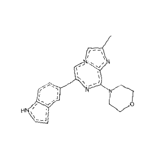 Cc1cn2cc(-c3ccc4[nH]ccc4c3)nc(N3CCOCC3)c2n1